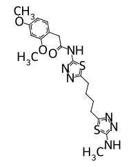 CNc1nnc(CCCCc2nnc(NC(=O)Cc3ccc(OC)cc3OC)s2)s1